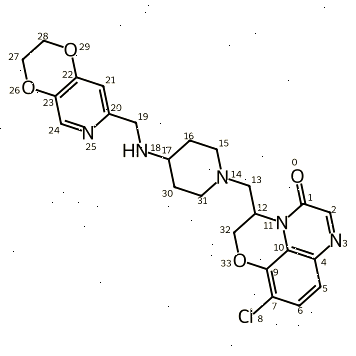 O=c1cnc2ccc(Cl)c3c2n1C(CN1CCC(NCc2cc4c(cn2)OCCO4)CC1)CO3